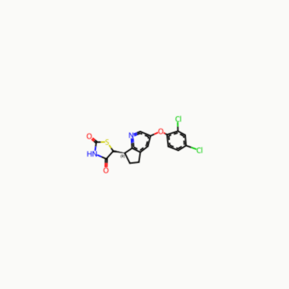 O=C1NC(=O)C([C@@H]2CCc3cc(Oc4ccc(Cl)cc4Cl)cnc32)S1